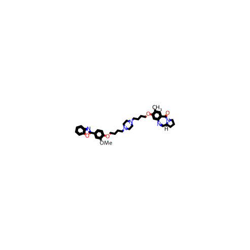 COc1cc(-c2nc3ccccc3o2)ccc1OCCCCN1CCN(CCCCOc2cc3c(cc2C)C(=O)N2CCC[C@H]2C=N3)CC1